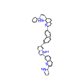 C1=CNC(c2ccc3ccc(C4=CC=C5C=CC(c6ccc7cc(-c8ccc9ccc%10c(c9n8)NC(c8ccccc8)C=C%10)ccc7c6)=CC5N4)cc3n2)C=C1